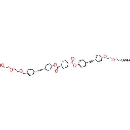 COCCOCCOc1ccc(C#Cc2ccc(OC(=O)[C@H]3CC[C@H](C(=O)Oc4ccc(C#Cc5ccc(COCCOCCO)cc5)cc4)CC3)cc2)cc1